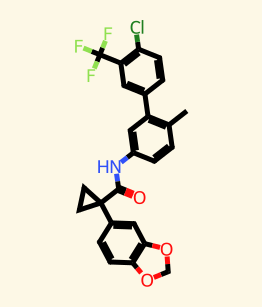 Cc1ccc(NC(=O)C2(c3ccc4c(c3)OCO4)CC2)cc1-c1ccc(Cl)c(C(F)(F)F)c1